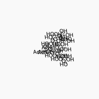 CC(=O)NC1C(O)[C@H](O[C@@H]2OC(CO[C@]3(OC=O)C[C@@H](O)[C@@H](C)C([C@H](O)[C@H](O)CO)O3)[C@H](O)[C@H](O)C2O)[C@H](CO)O[C@H]1OC1[C@@H](OCC2O[C@@H](O[C@@H]3C(CO)O[C@@H](O[C@@H]4C(CO)O[C@@H](C)C(NC(C)=O)[C@H]4O)C(NC(C)=O)[C@H]3O)C(O)[C@@H](O[C@H]3O[C@H](CO)[C@@H](O)C(O)C3O)[C@@H]2O)OC(CO)[C@@H](O)[C@@H]1O